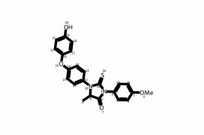 COc1ccc(N2C(=O)C(C)N(c3ccc(Oc4ccc(O)cc4)cc3)C2=S)cc1